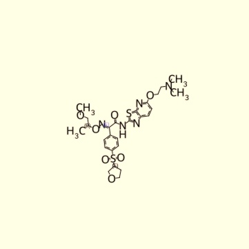 COC[C@@H](C)O/N=C(/C(=O)Nc1nc2ccc(OCCN(C)C)nc2s1)c1ccc(S(=O)(=O)[C@H]2CCOC2)cc1